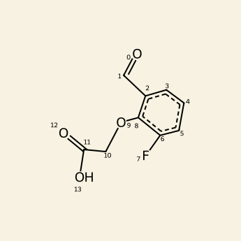 O=Cc1cccc(F)c1OCC(=O)O